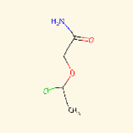 CC(Cl)OCC(N)=O